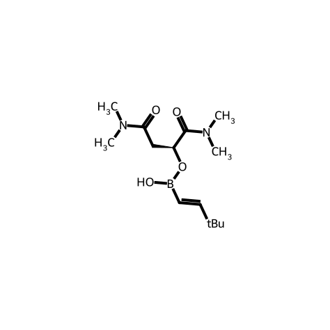 CN(C)C(=O)C[C@H](OB(O)/C=C/C(C)(C)C)C(=O)N(C)C